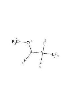 FC(OC(F)(F)F)C(F)(F)C(F)(F)F